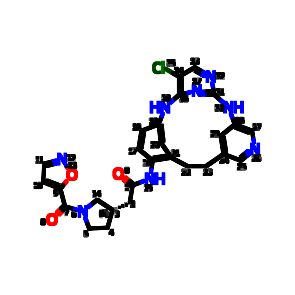 O=C(C[C@@H]1CCN(C(=O)c2ccno2)C1)Nc1ccc2cc1CCc1cncc(c1)Nc1ncc(Cl)c(n1)N2